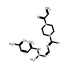 C=CC(=O)N1CCN(/C(CC)=N/C=N\N(C)NC(=C)/C=C\C(=C)C)CC1